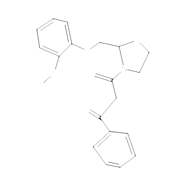 COc1ccccc1SCC1SCCN1C(=O)CC(=O)c1ccccc1